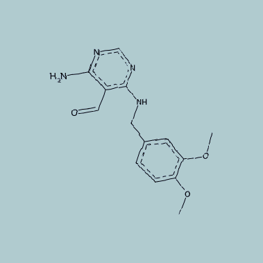 COc1ccc(CNc2ncnc(N)c2C=O)cc1OC